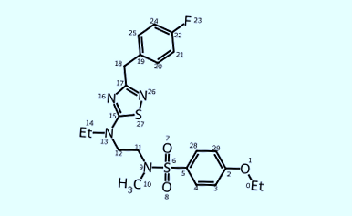 CCOc1ccc(S(=O)(=O)N(C)CCN(CC)c2nc(Cc3ccc(F)cc3)ns2)cc1